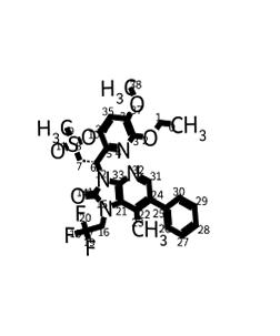 CCOc1nc([C@@H](CS(C)(=O)=O)n2c(=O)n(CC(F)(F)F)c3c(C)c(-c4ccccc4)cnc32)ccc1OC